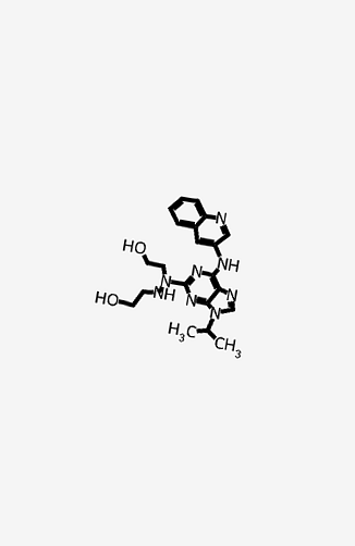 CC(C)n1cnc2c(Nc3cnc4ccccc4c3)nc(N(CCO)NCCO)nc21